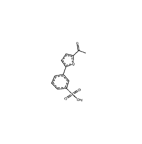 CC(=O)c1ccc(-c2cccc(S(=O)(=O)O)c2)o1